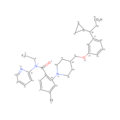 CCc1ccc(C(=O)N(CC(F)(F)F)c2ccccn2)c(N2CCC(COc3cccc(C(CC(=O)O)C4CC4)c3)CC2)c1